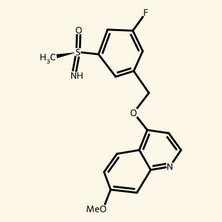 COc1ccc2c(OCc3cc(F)cc([S@](C)(=N)=O)c3)ccnc2c1